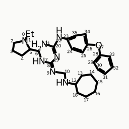 CCN1CCCC1CNC(=N/CNC1CCCCCC1)/N=C(\N)Nc1ccc(Oc2ccccc2)cc1